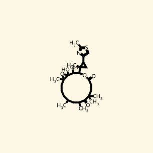 Cc1nc(C2CC2(C)C2OC(=O)CCC(C)(C)C(=O)C(C)CC(C)CCCC3(C)OC3(O)C2O)cs1